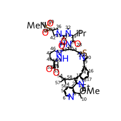 CCn1c(-c2cccnc2[C@H](C)OC)c2c3cc(ccc31)-c1csc(n1)C[C@H](NC(=O)[C@H](C(C)C)N(C)C(=O)N1CC(S(=O)(=O)NC)C1)C(=O)N1CCC[C@H](N1)C(=O)OCC(C)(C)C2